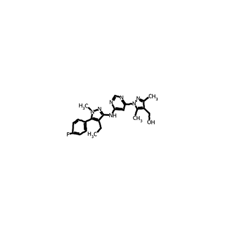 CCc1c(Nc2cc(-n3nc(C)c(CO)c3C)ncn2)nn(C)c1-c1ccc(F)cc1